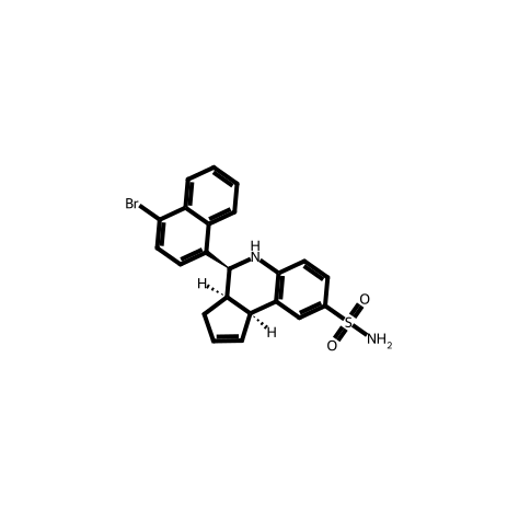 NS(=O)(=O)c1ccc2c(c1)[C@H]1C=CC[C@H]1[C@@H](c1ccc(Br)c3ccccc13)N2